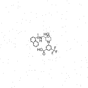 C[C@@H](NCC1CN(c2cc(C(=O)O)cc(C(F)(F)F)c2)CCO1)c1cccc2ccccc12.Cl